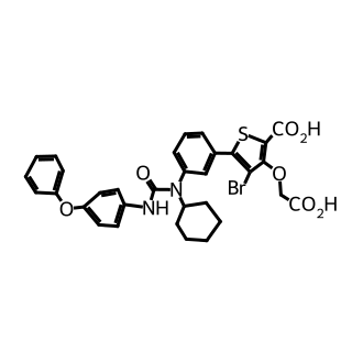 O=C(O)COc1c(C(=O)O)sc(-c2cccc(N(C(=O)Nc3ccc(Oc4ccccc4)cc3)C3CCCCC3)c2)c1Br